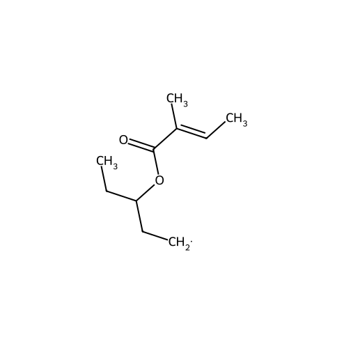 [CH2]CC(CC)OC(=O)C(C)=CC